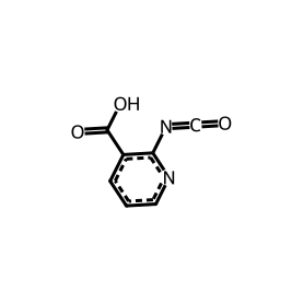 O=C=Nc1ncccc1C(=O)O